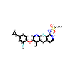 CSS(=O)(=O)Nc1nccc(Cc2cncc(Oc3ccc(C4CC4)cc3F)c2C)c1F